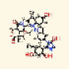 [CH2]C(OCCn1ccc2cc(-n3c(O)nnc3-c3cc(C(C)C)c(O)cc3O)ccc21)C1(CC)C(=O)OCc2c1cc1n(c2=O)Cc2c-1nc1ccc(O)cc1c2CC